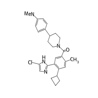 CNc1ccc(C2CCN(C(=O)c3cc(-c4ncc(Cl)[nH]4)c(C4CCC4)cc3C)CC2)cc1